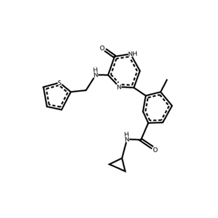 Cc1ccc(C(=O)NC2CC2)cc1-c1c[nH]c(=O)c(NCc2cccs2)n1